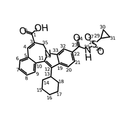 O=C(O)C1=Cc2ccccc2-c2c(C3CCCCC3)c3ccc(C(=O)NS(=O)(=O)C4CC4)cc3n2C1